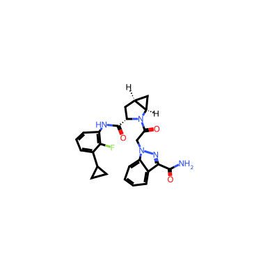 NC(=O)c1nn(CC(=O)N2[C@@H]3C[C@@H]3C[C@H]2C(=O)Nc2cccc(C3CC3)c2F)c2ccccc12